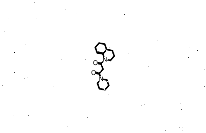 O=C(CC(=O)N1CCCC2CCCC=C21)N1CCCCC1